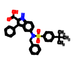 CC(C)(C)c1ccc(S(=O)(=O)N(Cc2ccccc2)c2ccc3[nH]c(C(=O)O)c(-c4ccccc4)c3c2)cc1